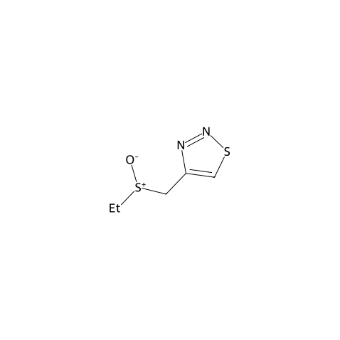 CC[S+]([O-])Cc1csnn1